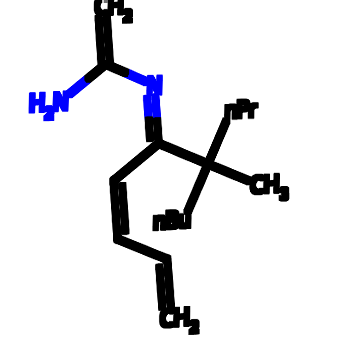 C=C/C=C\C(=N/C(=C)N)C(C)(CCC)CCCC